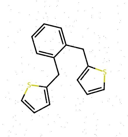 c1csc(Cc2ccccc2Cc2cccs2)c1